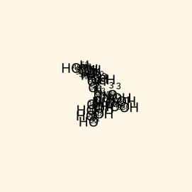 C[C@H](CCC(=O)N(CCCNC(=O)[C@H](O)[C@@H](O)[C@H](O)[C@H](O)CO)CCCNC(=O)[C@H](O)[C@@H](O)[C@H](O)[C@H](O)CO)[C@H]1CC[C@H]2[C@@H]3CC[C@@H]4C[C@H](O)CC[C@]4(C)[C@H]3C[C@H](O)[C@]12C